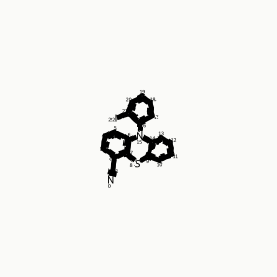 N#Cc1cccc2c1Sc1ccccc1N2c1ccccc1I